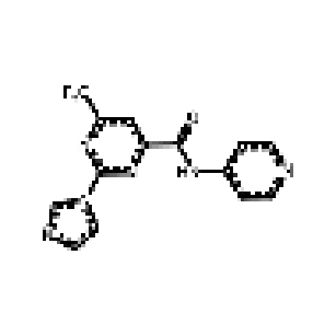 O=C(Nc1ccncc1)c1cc(C(F)(F)F)nc(-n2ccnc2)n1